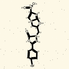 O=c1oc(-c2ccc(Br)cc2)nn1CC1Cn2cc([N+](=O)[O-])nc2O1